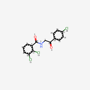 O=C(CNC(=O)c1cccc(Cl)c1Cl)c1ccc(Cl)cc1